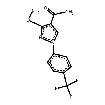 COc1nn(-c2ccc(C(F)(F)F)cc2)cc1C(N)=O